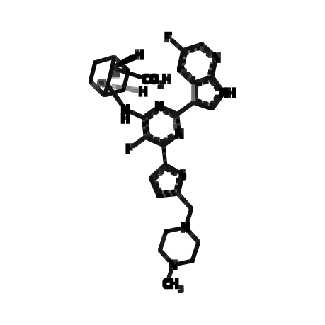 CN1CCN(Cc2ccc(-c3nc(-c4c[nH]c5ncc(F)cc45)nc(N[C@H]4C5CCC(CC5)[C@@H]4C(=O)O)c3F)s2)CC1